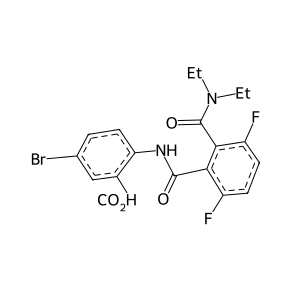 CCN(CC)C(=O)c1c(F)ccc(F)c1C(=O)Nc1ccc(Br)cc1C(=O)O